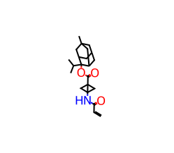 C=CC(=O)NC12CC1(C(=O)OC1(C(C)C)C3CC4CC1CC(C)(C4)C3)C2